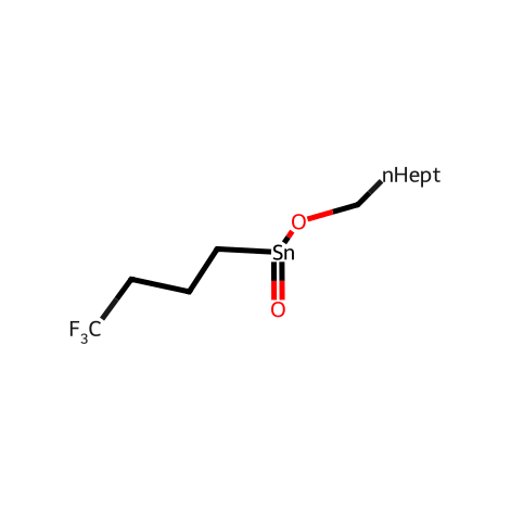 CCCCCCCC[O][Sn](=[O])[CH2]CCC(F)(F)F